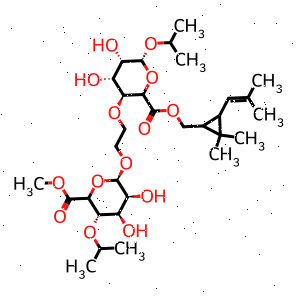 COC(=O)C1O[C@@H](OCCO[C@@H]2C(C(=O)OCC3C(C=C(C)C)C3(C)C)O[C@@H](OC(C)C)[C@@H](O)[C@H]2O)[C@@H](O)[C@@H](O)[C@@H]1OC(C)C